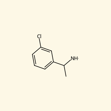 CC([NH])c1cccc(Cl)c1